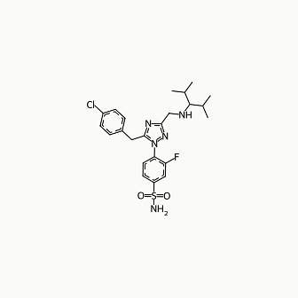 CC(C)C(NCc1nc(Cc2ccc(Cl)cc2)n(-c2ccc(S(N)(=O)=O)cc2F)n1)C(C)C